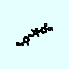 CSc1ccc(OCc2c(C)nn(-c3ccc(C#N)c(Cl)c3)c2C)cc1C